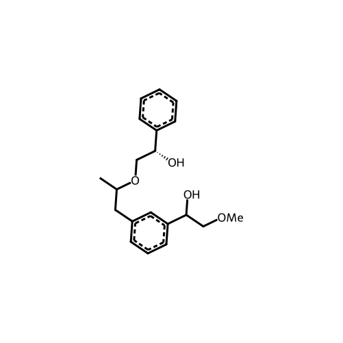 COCC(O)c1cccc(CC(C)OC[C@@H](O)c2ccccc2)c1